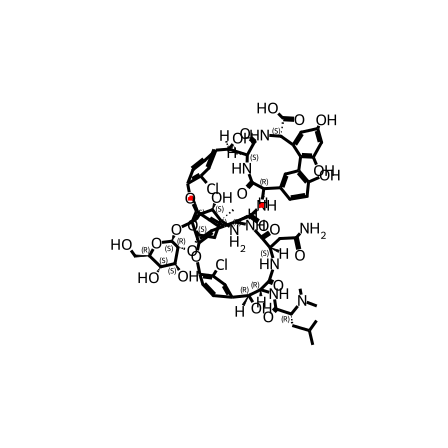 CC(C)C[C@H](C(=O)N[C@H]1C(=O)N[C@@H](CC(N)=O)C(=O)N[C@H]2C(=O)N[C@H]3C(=O)N[C@H](C(=O)N[C@H](C(=O)O)c4cc(O)cc(O)c4-c4cc3ccc4O)[C@H](O)c3ccc(c(Cl)c3)Oc3cc2cc(c3O[C@@H]2O[C@H](CO)[C@@H](O)[C@H](O)[C@H]2O[C@H]2C[C@](C)(N)[C@H](O)[C@H](C)O2)Oc2ccc(cc2Cl)[C@H]1O)N(C)C